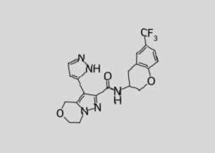 O=C(NC1COc2ccc(C(F)(F)F)cc2C1)c1nn2c(c1-c1ccn[nH]1)COCC2